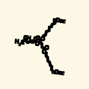 CCCCCCCCCCCCCCCCCCOC(=O)CCC(OC(=O)CCCN(C)C)C(=O)OCCCCCCCCCCCCCCCCCC